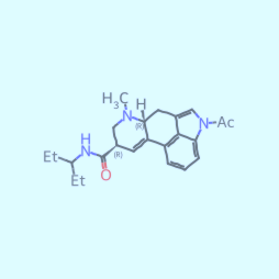 CCC(CC)NC(=O)[C@@H]1C=C2c3cccc4c3c(cn4C(C)=O)C[C@H]2N(C)C1